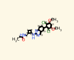 C=CC(=O)NC[C@H]1CC[C@H]1Nc1ncc2cc(-c3c(Cl)c(OC)cc(OC)c3Cl)ccc2n1